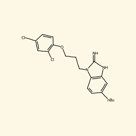 CCCCc1ccc2c(c1)[nH]c(=N)n2CCCOc1ccc(Cl)cc1Cl